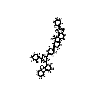 CC1(C)c2cc(-c3ccc(-c4nc(-c5ccccc5)nc(-c5cccc6c5OC5C=CC=CC65)n4)cc3)ccc2-c2ccc3nc(-c4ccccc4)oc3c21